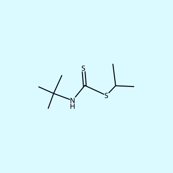 CC(C)SC(=S)NC(C)(C)C